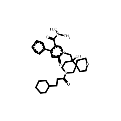 CN(C)C(=O)c1cn(CC2(O)CCN(C(=O)CCC3CCCCC3)CC23CCOCC3)c(=O)cc1-c1ccccc1